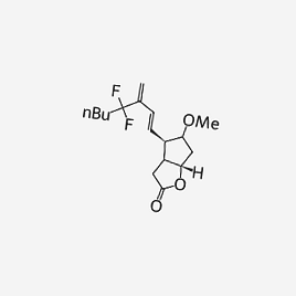 C=C(/C=C/[C@H]1C(OC)C[C@@H]2OC(=O)CC12)C(F)(F)CCCC